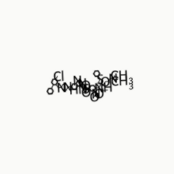 CN(C)CCOC[C@H](CSc1ccccc1)Nc1ccc(S(=O)(=O)Nc2ncnc3cc(N4CCN(Cc5cc(Cl)ccc5-c5ccccc5)CC4)ccc23)cc1[N+](=O)[O-]